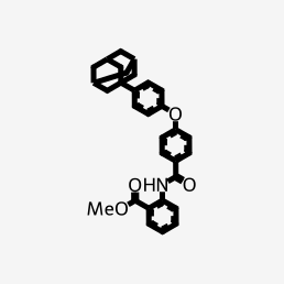 COC(=O)c1ccccc1NC(=O)c1ccc(Oc2ccc(C34CC5CC(CC(C5)C3)C4)cc2)cc1